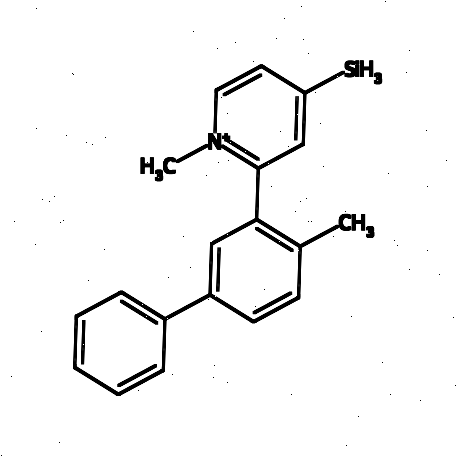 Cc1ccc(-c2ccccc2)cc1-c1cc([SiH3])cc[n+]1C